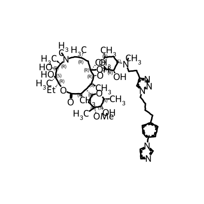 CC[C@H]1OC(=O)[C@H](C)C([C@H]2C[C@@](C)(OC)[C@@H](O)[C@H](C)O2)[C@H](C)[C@@H](O[C@@H]2O[C@H](C)C[C@H](N(C)CCc3cn(CCCCc4ccc(-n5ccnc5)cc4)nn3)[C@H]2O)[C@](C)(O)C[C@@H](C)CN(C)[C@H](C)[C@@H](O)[C@]1(C)O